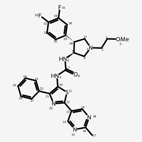 COCCN1C[C@@H](NC(=O)Nc2sc(-c3cnc(C)nc3)nc2-c2ccccc2)[C@H](c2ccc(F)c(F)c2)C1